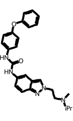 CC(C)N(C)CCn1cc2cc(NC(=O)Nc3ccc(Oc4ccccc4)cc3)ccc2n1